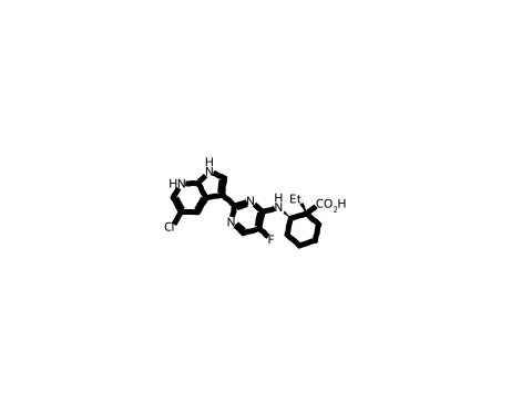 CC[C@@]1(C(=O)O)CCCC[C@@H]1Nc1nc(C2=CNC3NC=C(Cl)C=C23)ncc1F